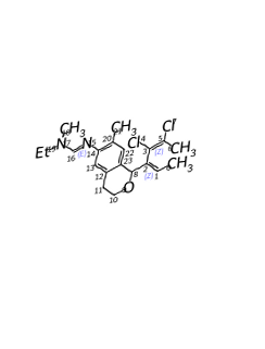 C/C=C(\C(Cl)=C(/C)Cl)C1OCCc2cc(/N=C/N(C)CC)c(C)cc21